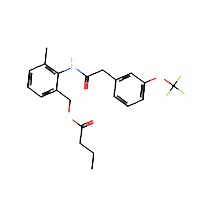 CCCC(=O)OCc1cccc(C)c1NC(=O)Cc1cccc(OC(F)(F)F)c1